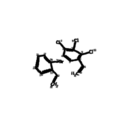 C=Cc1ccc(Cl)c(Cl)c1Cl.C=Cc1ccccc1Br